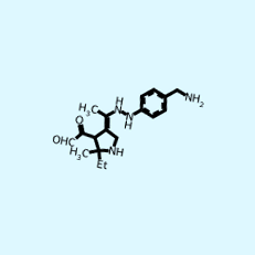 CCC1(C)NCC(=C(C)NNc2ccc(CN)cc2)C1C(=O)C=O